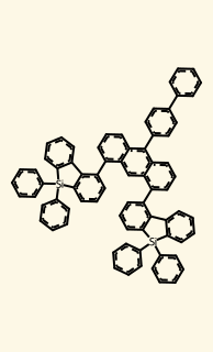 c1ccc(-c2ccc(-c3c4cccc(-c5cccc6c5-c5ccccc5[Si]6(c5ccccc5)c5ccccc5)c4cc4c(-c5cccc6c5-c5ccccc5[Si]6(c5ccccc5)c5ccccc5)cccc34)cc2)cc1